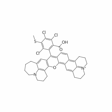 CSc1c(Cl)c(Cl)c(C(=O)O)c(C2=c3ccc4c5c6c(cc4c3Oc3c2cc2c4c3CCCN4CCCC2)CCC[N+]=6CCC5)c1Cl